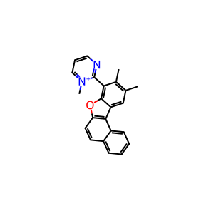 Cc1cc2c(oc3ccc4ccccc4c32)c(-c2nccc[n+]2C)c1C